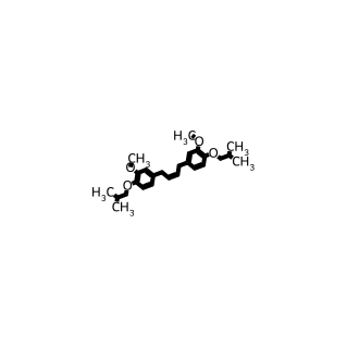 COc1cc(C/C=C\Cc2ccc(OCC(C)C)c(OC)c2)ccc1OCC(C)C